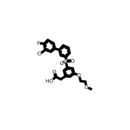 COCCOc1cc(CC(=O)O)cc(S(=O)(=O)c2cccc(-c3ccc(F)c(Cl)c3)c2)c1